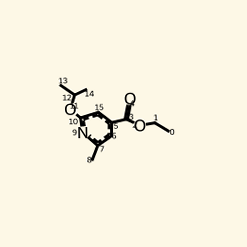 CCOC(=O)c1cc(C)nc(OC(C)C)c1